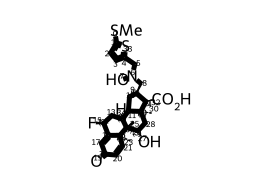 CSc1ccc(CN(O)C[C@@H]2CC3[C@@H]4C[C@H](F)C5=CC(=O)C=C[C@]5(C)[C@@]4(C)[C@@H](O)C[C@]3(C)[C@H]2C(=O)O)s1